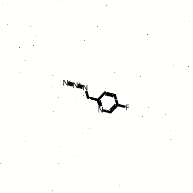 [N-]=[N+]=NCc1ccc(F)cn1